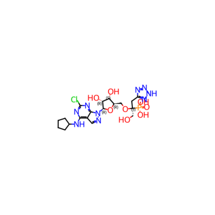 O=P(O)(O)[C@](CO)(Cc1nn[nH]n1)OC[C@H]1O[C@@H](n2ncc3c(NC4CCCC4)nc(Cl)nc32)[C@H](O)[C@@H]1O